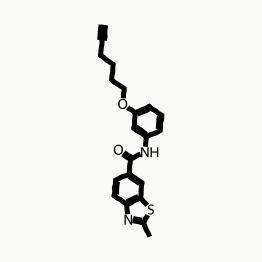 C#CCCCCOc1cccc(NC(=O)c2ccc3nc(C)sc3c2)c1